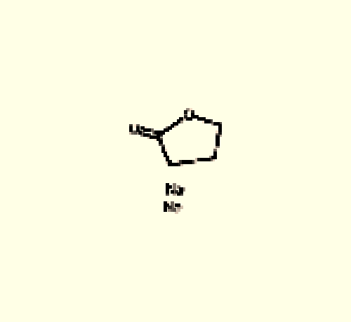 O=C1CCCO1.[Na].[Na]